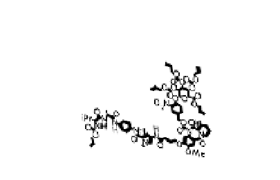 C=CCOC(=O)N[C@H](C(=O)N[C@@H](C)C(=O)Nc1ccc(NC(=O)c2cc(NC(=O)CCCOc3cc4c(cc3OC)C(=O)N3CCCC[C@H]3C(O)N4C(=O)OCc3ccc(O[C@@H]4O[C@H](C(=O)OCC=C)[C@@H](OC(=O)OCC=C)[C@H](OC(=O)OCC=C)[C@H]4OC(=O)OCC=C)c([N+](=O)[O-])c3)cn2C)cc1)C(C)C